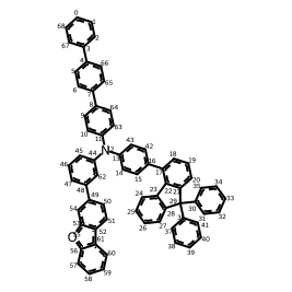 c1ccc(-c2ccc(-c3ccc(N(c4ccc(-c5cccc6c5-c5ccccc5C6(c5ccccc5)c5ccccc5)cc4)c4cccc(-c5ccc6c(c5)oc5ccccc56)c4)cc3)cc2)cc1